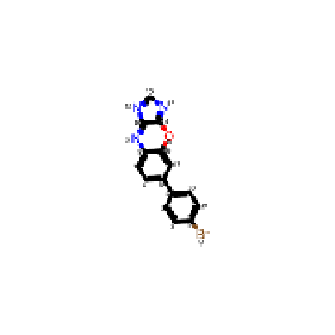 Brc1ccc(-c2ccc3nc4ncnc-4oc3c2)cc1